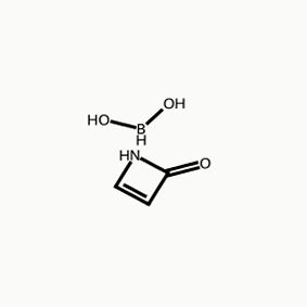 O=C1C=CN1.OBO